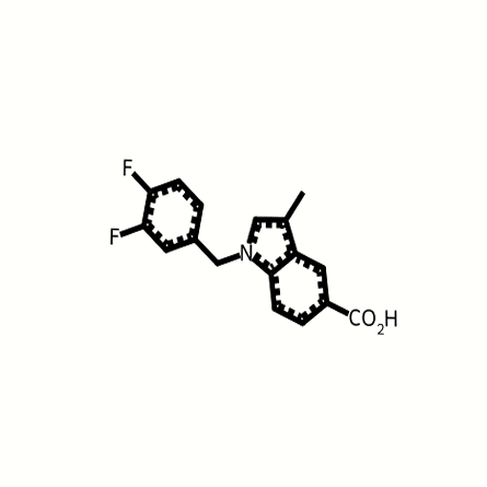 Cc1cn(Cc2ccc(F)c(F)c2)c2ccc(C(=O)O)cc12